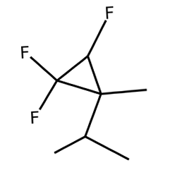 CC(C)C1(C)C(F)C1(F)F